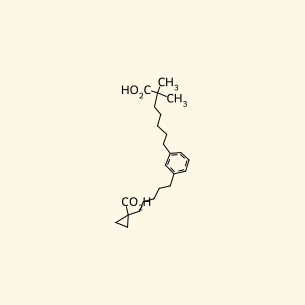 CC(C)(CCCCCc1cccc(CCCCCC2(C(=O)O)CC2)c1)C(=O)O